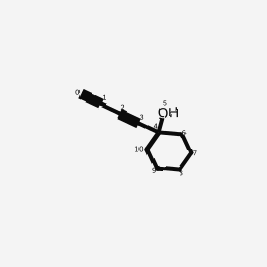 C#CC#CC1(O)CCCCC1